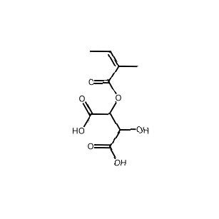 CC=C(C)C(=O)OC(C(=O)O)C(O)C(=O)O